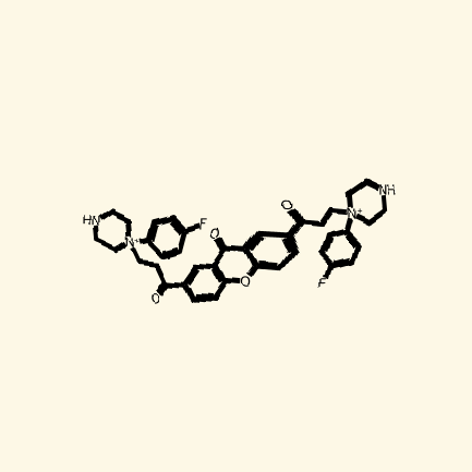 O=C(CC[N+]1(c2ccc(F)cc2)CCNCC1)c1ccc2oc3ccc(C(=O)CC[N+]4(c5ccc(F)cc5)CCNCC4)cc3c(=O)c2c1